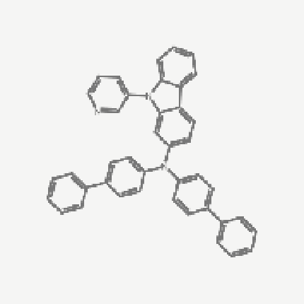 c1ccc(-c2ccc(N(c3ccc(-c4ccccc4)cc3)c3ccc4c5ccccc5n(-c5cccnc5)c4c3)cc2)cc1